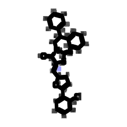 O=C1/C(=C/c2ccc(-c3ccccc3Cl)o2)SC(=S)N1CC(c1ccccc1)c1ccccc1